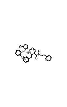 O=C(NCCc1ccccn1)C(=O)C(Cc1ccccc1)NC(=O)[C@H]1CCC(=O)N1Cc1ccccc1C(F)(F)F